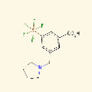 O=C(O)c1cc(CN2CCCC2)cc(S(F)(F)(F)(F)F)c1